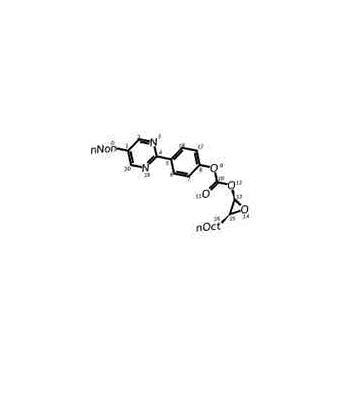 CCCCCCCCCc1cnc(-c2ccc(OC(=O)O[C@H]3O[C@H]3CCCCCCCC)cc2)nc1